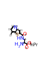 CCCOC(=O)C(N)CNC(=O)c1cc2nccc(C)c2s1